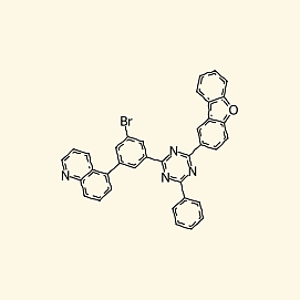 Brc1cc(-c2nc(-c3ccccc3)nc(-c3ccc4oc5ccccc5c4c3)n2)cc(-c2cccc3ncccc23)c1